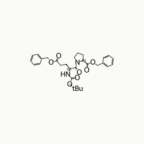 CC(C)(C)OC(=O)N[C@@H](CCC(=O)OCc1ccccc1)C(=O)N1CCC[C@H]1C(=O)OCc1ccccc1